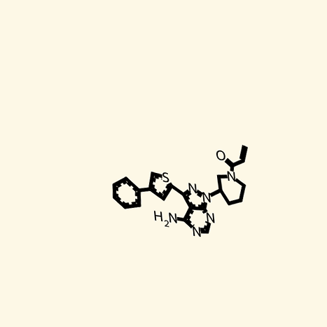 C=CC(=O)N1CCCC(n2nc(-c3cc(-c4ccccc4)cs3)c3c(N)ncnc32)C1